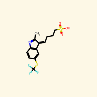 CC1=Nc2ccc(SC(F)(F)F)cc2/C1=C/CCCS(=O)(=O)O